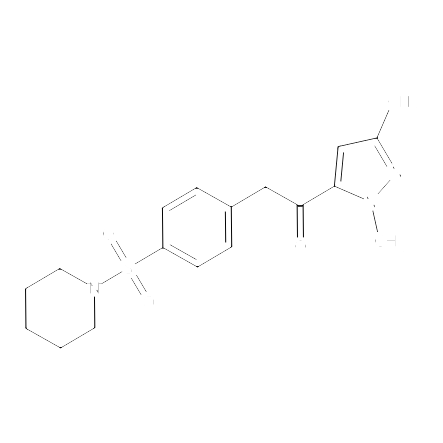 Cc1cc(C(=O)Cc2ccc(S(=O)(=O)N3CCCCC3)cc2)n(C)n1